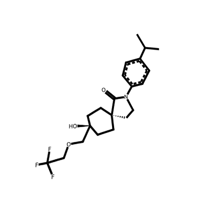 CC(C)c1ccc(N2CC[C@]3(CC[C@@](O)(COCC(F)(F)F)CC3)C2=O)cc1